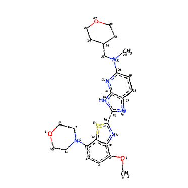 COc1ccc(N2CCOCC2)c2sc(-c3nc4ccc(N(C)CC5CCOCC5)nc4[nH]3)nc12